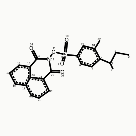 CCC(C)c1ccc(S(=O)(=O)ON2C(=O)c3cccc4cccc(c34)C2=O)cc1C